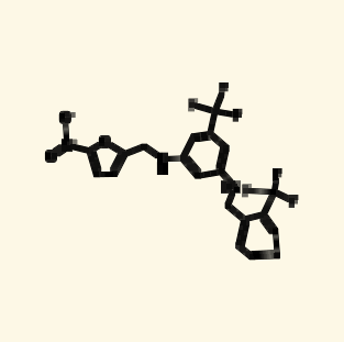 O=[N+]([O-])c1ccc(CNc2cc(NCc3ccccc3C(F)(F)F)cc(C(F)(F)F)c2)o1